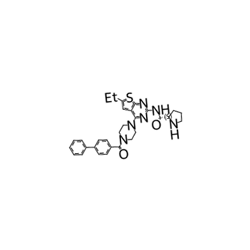 CCc1cc2c(N3CCN(C(=O)c4ccc(-c5ccccc5)cc4)CC3)nc(NC(=O)[C@@H]3CCCN3)nc2s1